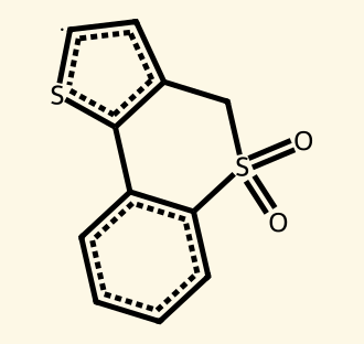 O=S1(=O)Cc2c[c]sc2-c2ccccc21